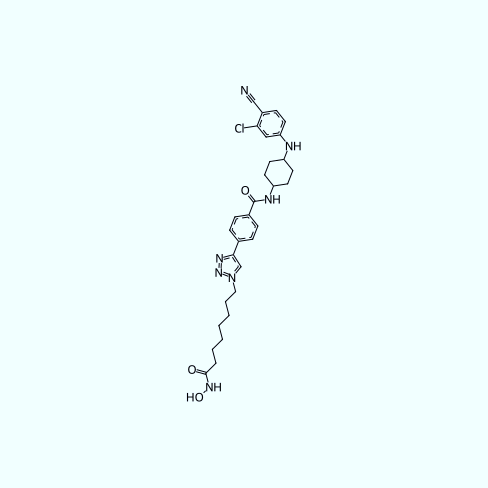 N#Cc1ccc(NC2CCC(NC(=O)c3ccc(-c4cn(CCCCCCCC(=O)NO)nn4)cc3)CC2)cc1Cl